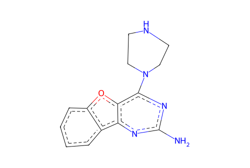 Nc1nc(N2CCNCC2)c2oc3ccccc3c2n1